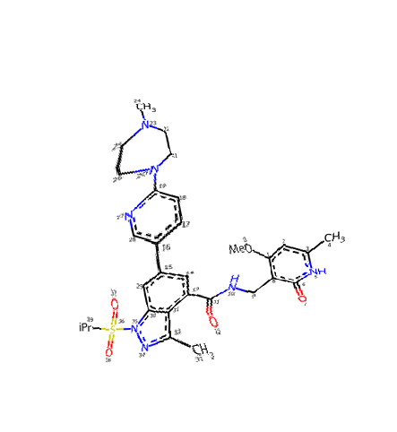 COc1cc(C)[nH]c(=O)c1CNC(=O)c1cc(-c2ccc(N3CCN(C)CC3)nc2)cc2c1c(C)nn2S(=O)(=O)C(C)C